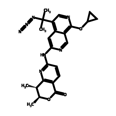 C[C@@H]1OC(=O)c2ccc(Nc3cc4c(C(C)(C)N=[N+]=[N-])cnc(OC5CC5)c4cn3)nc2[C@H]1C